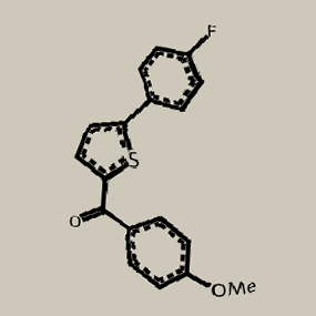 COc1ccc(C(=O)c2ccc(-c3ccc(F)cc3)s2)cc1